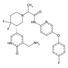 CC(C(=O)Nc1ccc(Oc2ccc(F)cc2)cn1)N1CCC(F)(F)[C@@H](c2c[nH]c(=O)c(CN)c2)C1